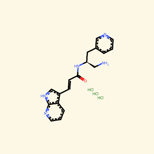 Cl.Cl.Cl.NC[C@H](Cc1cccnc1)NC(=O)/C=C/c1c[nH]c2ncccc12